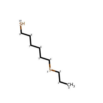 CCCSCCCCCCS